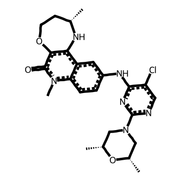 C[C@@H]1CN(c2ncc(Cl)c(Nc3ccc4c(c3)c3c(c(=O)n4C)OCC[C@H](C)N3)n2)C[C@H](C)O1